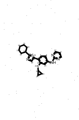 c1cnc(Nc2ccc(-c3cnc(C4CCCCC4)s3)c(SC3CC3)c2)nc1